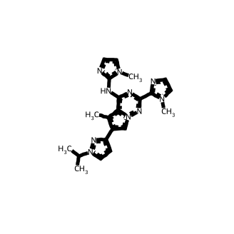 Cc1c(-c2ccn(C(C)C)n2)cn2nc(-c3nccn3C)nc(Nc3nccn3C)c12